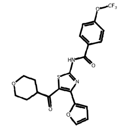 O=C(Nc1nc(-c2ccco2)c(C(=O)C2CCOCC2)s1)c1ccc(OC(F)(F)F)cc1